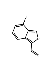 O=Cc1occ2c(I)cccc12